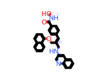 O=C(NO)c1ccc(/C=C(/CNc2cnc3ccccc3c2)COc2cccc3ccccc23)cc1